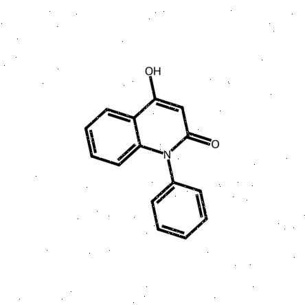 O=c1cc(O)c2ccccc2n1-c1ccccc1